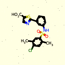 Cc1cc(S(=O)(=O)Nc2cccc(-c3ncc(C(=O)O)s3)c2)c(C)cc1Cl